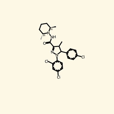 CC1C(C(=O)NN2[C@H](C)CCC[C@H]2C)=NN(c2ccc(Cl)cc2Cl)C1c1ccc(Cl)cc1